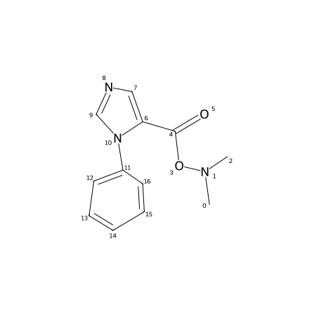 CN(C)OC(=O)c1cncn1-c1ccccc1